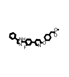 COC(=O)CC1CCC(Oc2ccc(-c3ccc(-c4ncc(-c5ccccc5)[nH]4)c(F)c3)cn2)CC1